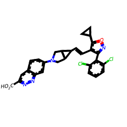 O=C(O)c1cc2ccc(N3CC4C(C=Cc5c(-c6c(Cl)cccc6Cl)noc5C5CC5)C4C3)cc2nn1